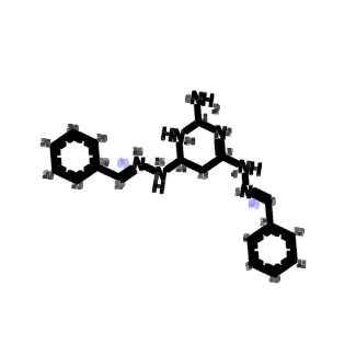 NC1N=C(N/N=C/c2ccccc2)CC(N/N=C/c2ccccc2)N1